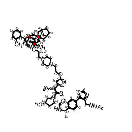 CC(=O)NCc1ncsc1-c1ccc([C@H](C)NC(=O)[C@@H]2C[C@@H](O)CN2C(=O)C(c2cc(OCCN3CCN(CCOc4cc(N5C6CCC5CN(c5cc(-c7ccccc7O)nnc5N)C6)ccn4)CC3)no2)C(C)C)cc1